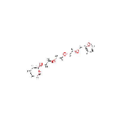 c1coc(COCCOCCOCCOC2CCCCO2)c1